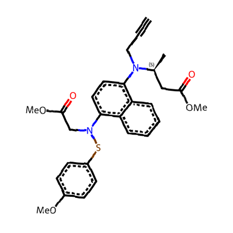 C#CCN(c1ccc(N(CC(=O)OC)Sc2ccc(OC)cc2)c2ccccc12)[C@@H](C)CC(=O)OC